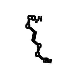 CC(C)(C)OOC=COC(=O)O